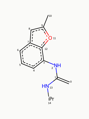 C=C(Nc1cccc2cc(C)oc12)NC(C)C